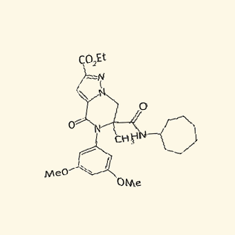 CCOC(=O)c1cc2n(n1)CC(C)(C(=O)NC1CCCCCC1)N(c1cc(OC)cc(OC)c1)C2=O